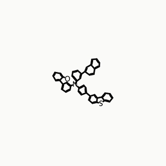 c1cc(-c2ccc3ccccc3c2)cc(N(c2ccc(-c3ccc4sc5ccccc5c4c3)cc2)c2cccc3c2oc2ccccc23)c1